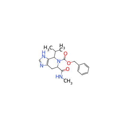 CNC(=O)C1Cc2nc[nH]c2C(C(C)C)N1C(=O)OCc1ccccc1